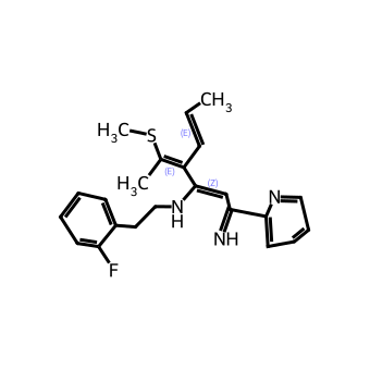 C/C=C/C(C(=C/C(=N)c1ccccn1)/NCCc1ccccc1F)=C(/C)SC